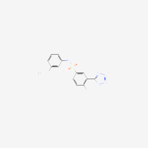 O=C(O)c1cccc(NS(=O)(=O)c2ccc(Cl)c(-c3nnn[nH]3)c2)c1